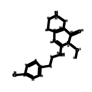 COn1c(NCCc2ccc(Cl)cc2)nc2c(c1=O)CNCC2